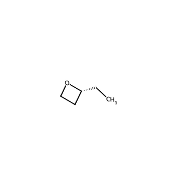 C[CH][C@@H]1CCO1